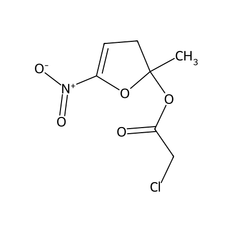 CC1(OC(=O)CCl)CC=C([N+](=O)[O-])O1